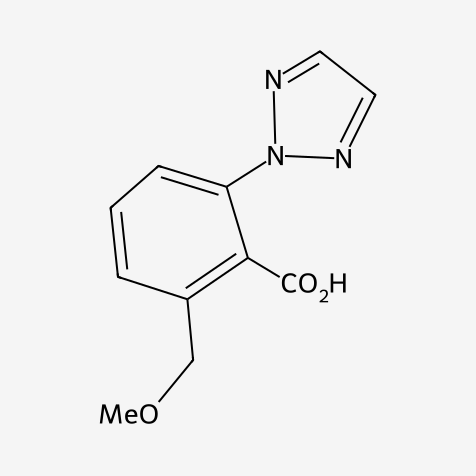 COCc1cccc(-n2nccn2)c1C(=O)O